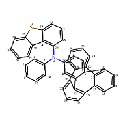 c1ccc(N(c2ccc3c(c2)-c2c4cccc2-c2cccc-3c2-c2ccccc2-4)c2cccc3sc4ccccc4c23)cc1